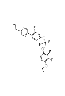 CCCc1ccc(-c2ccc(OC(F)(F)COc3ccc(OCC)c(F)c3F)cc2F)cc1